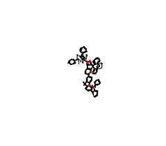 CC1(C)c2cc(-c3ccc4c(c3)C3(c5ccccc5Oc5ccccc53)c3ccc(-c5nc(-c6ccccc6)nc(-c6ccccc6)n5)cc3-4)ccc2-c2c1ccc1c3ccccc3n(-c3ccccc3)c21